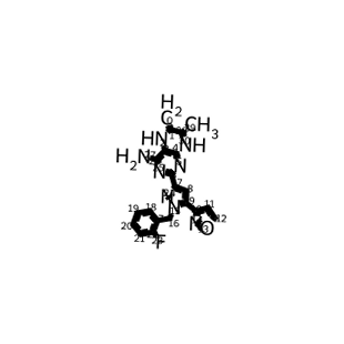 C=C(Nc1cnc(-c2cc(-c3ccon3)n(Cc3ccccc3F)n2)nc1N)C(C)=N